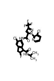 CC(C)NC(=O)C1c2cc(NC(=O)c3cc(C(F)(F)F)nn3-c3ncccc3Cl)c(Cl)cc2CC1F